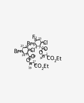 CCOC(=O)C[C@@H](C)OC(=O)c1cc(Br)c(F)cc1Cl.CCOC(=O)C[C@H](C)OC(=O)c1cc(Br)ccc1Cl